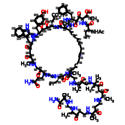 CC(=O)N[C@@H](CC(C)C)C(=O)N[C@H](C(=O)C(=O)[C@H](Cc1ccccc1)NN[C@]1(C)CCCCCC/C=C/CCC[C@@](C)(C(=O)CN[C@@H](C)C(=O)CNC(C)(C)C(=O)CC(=O)[C@H](C)NCCC(=O)[C@H](C)NCCC(=O)[C@H](C)NCN[C@H](C)C(N)=O)NC(=O)[C@H](CC(C)C)NN[C@@H](CCC(N)=O)C(=O)CN[C@@H](C)C(=O)CC(=O)[C@H](Cc2c[nH]c3ccccc23)NN[C@@H](Cc2ccc(O)cc2)C(=O)C(=O)[C@H](CCC(=O)O)NC1=O)[C@@H](C)O